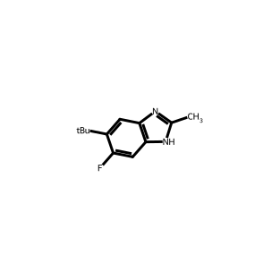 Cc1nc2cc(C(C)(C)C)c(F)cc2[nH]1